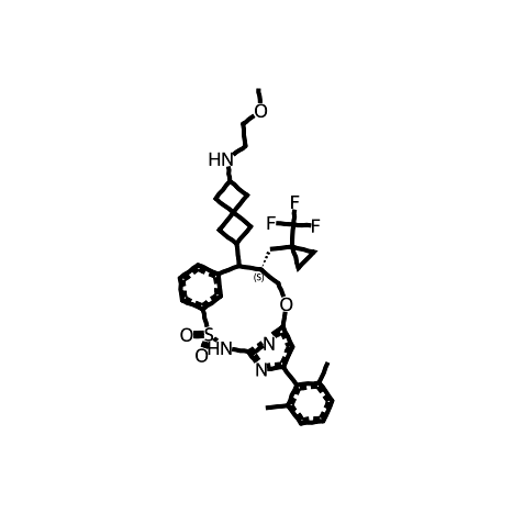 COCCNC1CC2(C1)CC(C1c3cccc(c3)S(=O)(=O)Nc3nc(cc(-c4c(C)cccc4C)n3)OC[C@H]1CC1(C(F)(F)F)CC1)C2